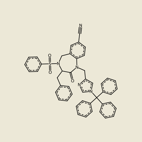 N#Cc1ccc2c(c1)CN(S(=O)(=O)c1ccccc1)C(Cc1ccccc1)C(=O)N2Cc1cn(C(c2ccccc2)(c2ccccc2)c2ccccc2)cn1